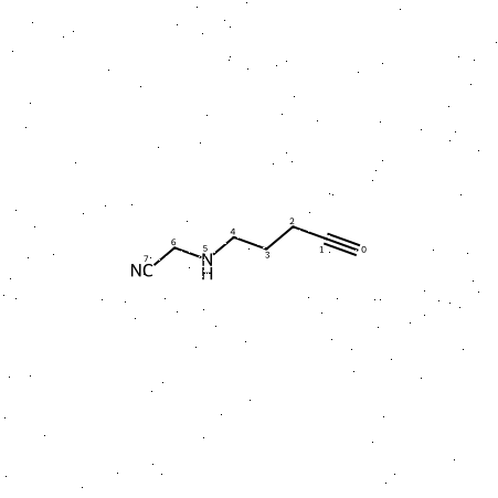 C#CCCCNCC#N